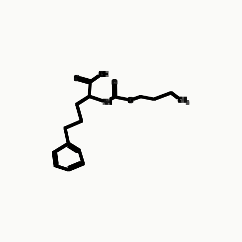 CCCCOC(=O)NC(CCCc1ccccc1)C(=O)O